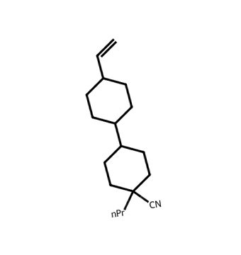 C=CC1CCC(C2CCC(C#N)(CCC)CC2)CC1